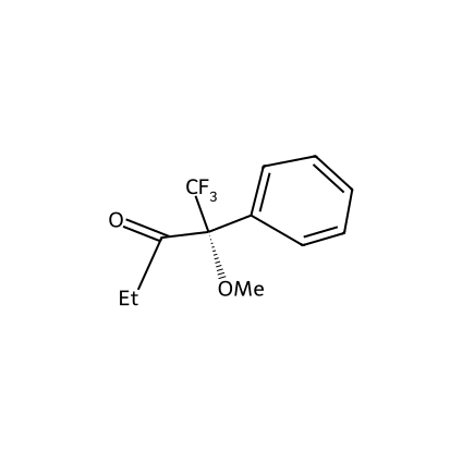 CCC(=O)[C@](OC)(c1ccccc1)C(F)(F)F